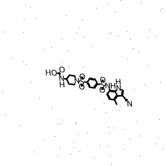 Cc1ccc(NS(=O)(=O)c2ccc(S(=O)(=O)N3CCC(NC(=O)O)CC3)cc2)c2[nH]cc(C#N)c12